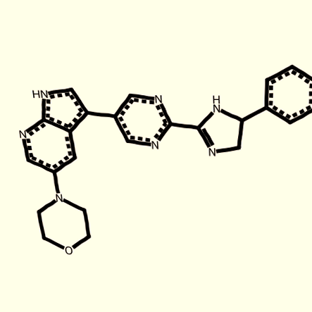 c1ccc(C2CN=C(c3ncc(-c4c[nH]c5ncc(N6CCOCC6)cc45)cn3)N2)cc1